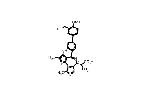 COc1ccc(-c2ccc(C3=N[C@@H](C(C)C(=O)O)c4nnc(C)n4-c4sc(C)c(C)c43)cc2)cc1CO